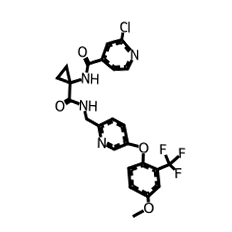 COc1ccc(Oc2ccc(CNC(=O)C3(NC(=O)c4ccnc(Cl)c4)CC3)nc2)c(C(F)(F)F)c1